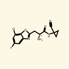 N#CC1(NC(=O)[C@@H](N)Cc2nc3cc(F)cc(Cl)c3o2)CC1